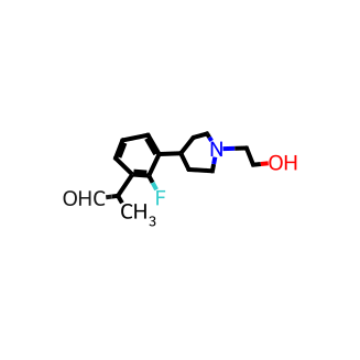 CC(C=O)c1cccc(C2CCN(CCO)CC2)c1F